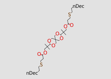 CCCCCCCCCCCCSCCC(=O)OCC(C)(C)C1OCC2(CO1)COC(C(C)(C)COC(=O)CCSCCCCCCCCCCCC)OC2